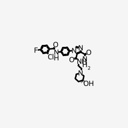 NC(=O)c1ncn(-c2ccc(NC(=O)c3ccc(F)cc3Cl)cc2)c1C(=O)NCCN1CCC[C@@H](O)C1